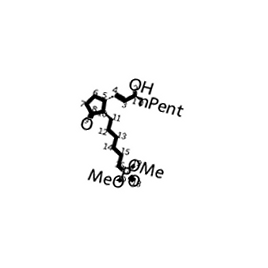 CCCCC[C@H](O)/C=C/[C@H]1CCC(=O)[C@@H]1CCCCCCP(=O)(OC)OC